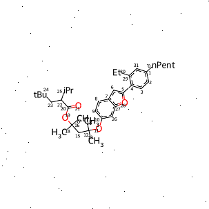 CCCCCc1ccc(-c2cc3ccc(OC(C)(C)CC(C)(C)OC(=O)C(CC(C)(C)C)C(C)C)cc3o2)c(CC)c1